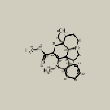 CCC12CCCN3CCC4(C(=C(C(=O)OC)C1)N(C)c1ccccc14)C32